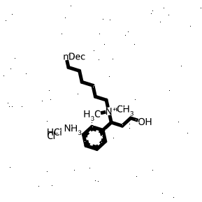 CCCCCCCCCCCCCCCC[N+](C)(C)C(CCO)c1ccccc1.Cl.N.[Cl-]